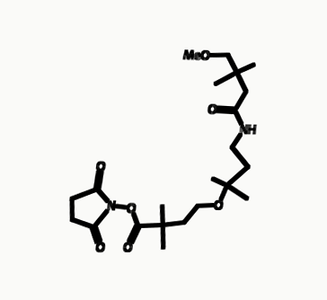 COCC(C)(C)CC(=O)NCCC(C)(C)OCCC(C)(C)C(=O)ON1C(=O)CCC1=O